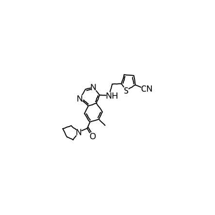 Cc1cc2c(NCc3ccc(C#N)s3)ncnc2cc1C(=O)N1CCCC1